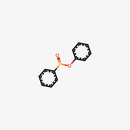 O=[P](Oc1ccccc1)c1ccccc1